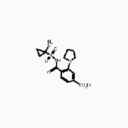 CCOC(=O)c1ccc(C(=O)NS(=O)(=O)C2(C)CC2)c(N2CCCC2)c1